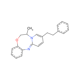 CC1COc2ccccc2N=C2C=CC(CCc3ccccc3)=CN21